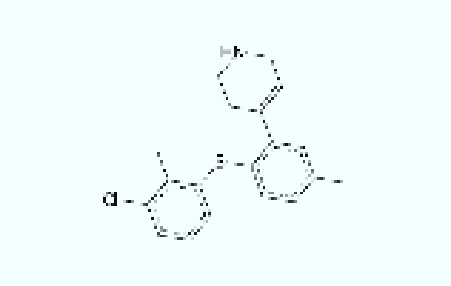 Cc1ccc(Sc2cccc(Cl)c2C)c(C2=CCNCC2)c1